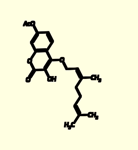 CC(=O)Oc1ccc2c(OCC=C(C)CCC=C(C)C)c(O)c(=O)oc2c1